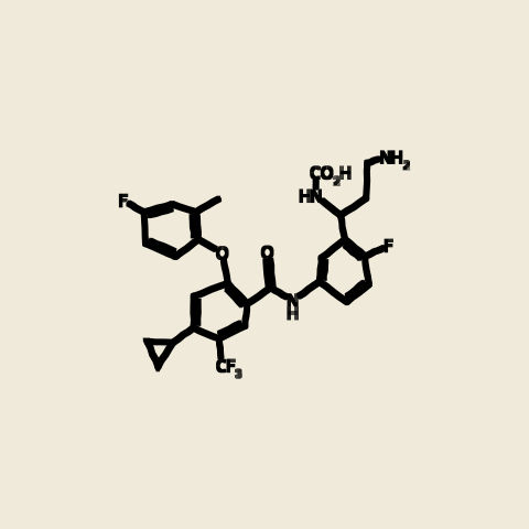 Cc1cc(F)ccc1Oc1cc(C2CC2)c(C(F)(F)F)cc1C(=O)Nc1ccc(F)c(C(CCN)NC(=O)O)c1